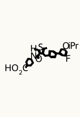 Cc1sc(C)c(C(=O)NC2CCC(C(=O)O)CC2)c1Cc1ccc(C2=CC(F)=CC(OC(C)C)C2)cc1